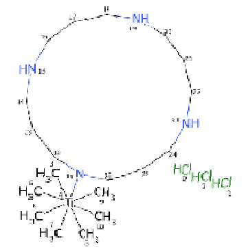 Cl.Cl.Cl.[CH3][Ti]([CH3])([CH3])([CH3])([CH3])([CH3])([CH3])[N]1CCCNCCCNCCCNCCC1